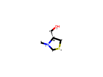 CN1CSC[C@H]1CO